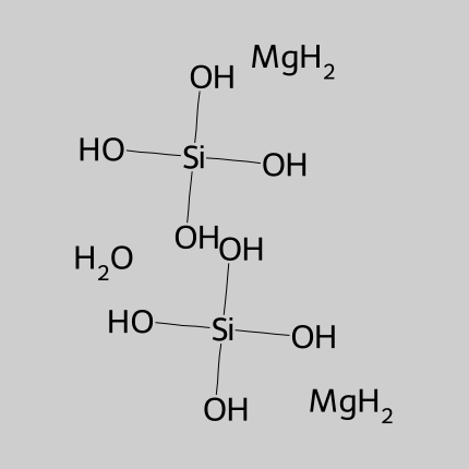 O.O[Si](O)(O)O.O[Si](O)(O)O.[MgH2].[MgH2]